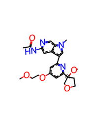 COCCOc1cc(-c2cn(C)c3cnc(NC(C)=O)cc23)nc([C@]2(OC)CCOC2)c1